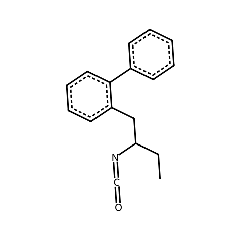 CCC(Cc1ccccc1-c1ccccc1)N=C=O